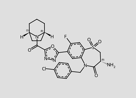 N[C@H]1CS(=O)(=O)c2cc(F)c(-c3nnc(C(=O)N4[C@@H]5CCC[C@H]4CC5)o3)cc2N(Cc2ccc(Cl)cc2)C1=O